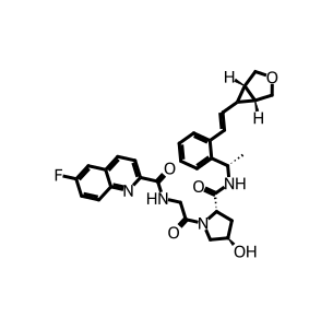 C[C@H](NC(=O)[C@@H]1C[C@@H](O)CN1C(=O)CNC(=O)c1ccc2cc(F)ccc2n1)c1ccccc1/C=C/C1[C@H]2COC[C@@H]12